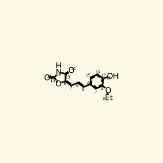 CCOc1cc(C=CC=C2OC(=O)NC2=O)ccc1O